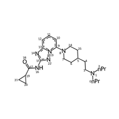 CCCN(CCC)CCC1CCN(c2cccc3nc(NC(=O)C4CC4)nn23)CC1